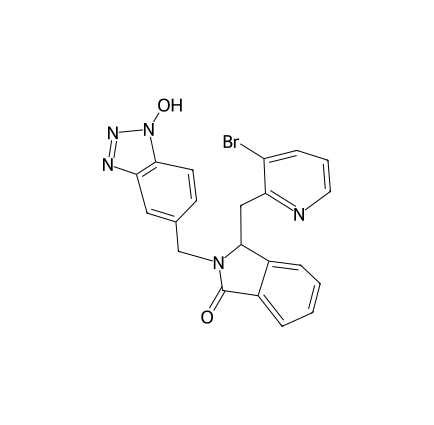 O=C1c2ccccc2C(Cc2ncccc2Br)N1Cc1ccc2c(c1)nnn2O